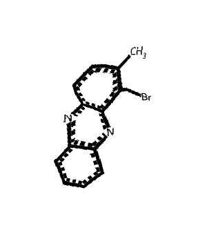 Cc1ccc2nc3ccccc3nc2c1Br